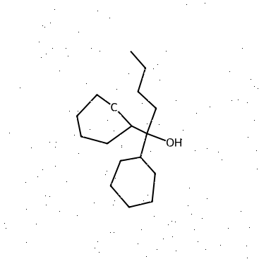 CCCCC(O)(C1CCCCC1)C1CCCCC1